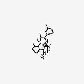 CNC(=O)/C(=N/OC)c1cccc(C)c1CO/N=C(\C(C)=O)c1cccc(C)c1